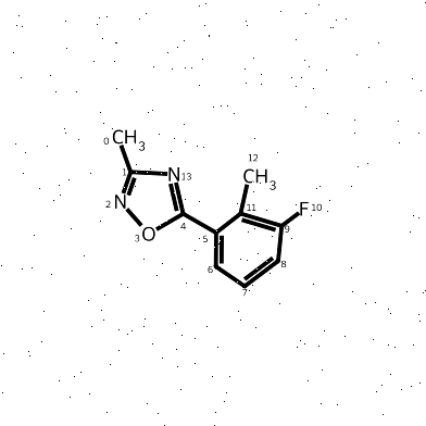 Cc1noc(-c2cccc(F)c2C)n1